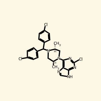 C[C@@H]1CN(c2nc(Cl)nc3[nH]cnc23)[C@@H](C)CN1C(c1ccc(Cl)cc1)c1ccc(Cl)cc1